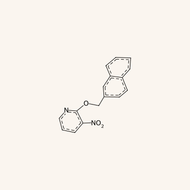 O=[N+]([O-])c1cccnc1OCc1ccc2ccccc2c1